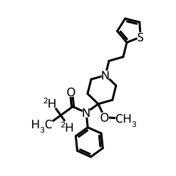 [2H]C([2H])(C)C(=O)N(c1ccccc1)C1(OC)CCN(CCc2cccs2)CC1